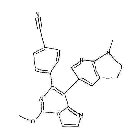 COc1nc(-c2ccc(C#N)cc2)c(-c2cnc3c(c2)CCN3C)c2nccn12